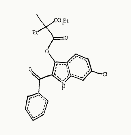 CCOC(=O)C(C)(CC)C(=O)Oc1c(C(=O)c2ccccc2)[nH]c2cc(Cl)ccc12